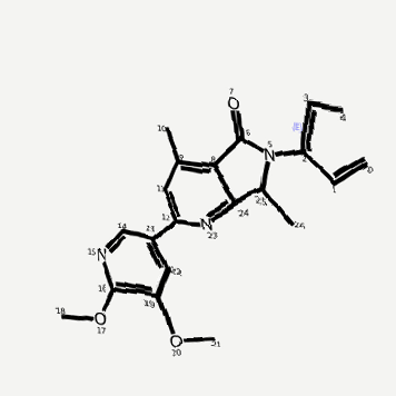 C=C/C(=C\C)N1C(=O)c2c(C)cc(-c3cnc(OC)c(OC)c3)nc2C1C